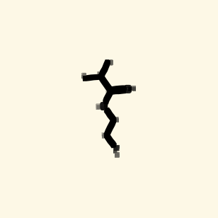 CC(C)C(=O)OCCF